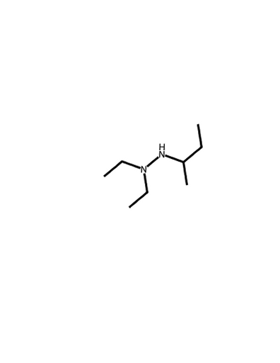 CCC(C)NN(CC)CC